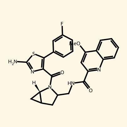 COc1cc(C(=O)NCC2CC3C[C@@H]3N2C(=O)c2nc(N)sc2-c2cccc(F)c2)nc2ccccc12